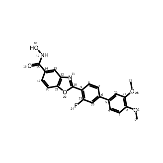 COc1ccc(-c2ccc(-c3nc4cc(C(=O)NO)ccc4o3)c(F)c2)cc1OC